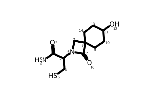 NC(=O)C(CS)N1CC2(CCC(O)CC2)C1=O